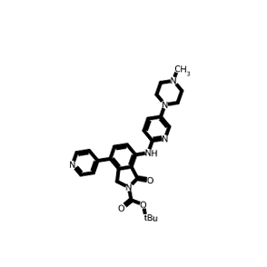 CN1CCN(c2ccc(Nc3ccc(-c4ccncc4)c4c3C(=O)N(C(=O)OC(C)(C)C)C4)nc2)CC1